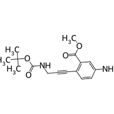 COC(=O)c1cc(N)ccc1C#CCNC(=O)OC(C)(C)C